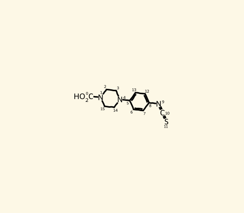 O=C(O)N1CCN(c2ccc(N=C=S)cc2)CC1